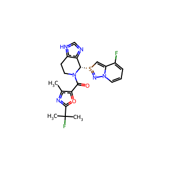 Cc1nc(C(C)(C)F)oc1C(=O)N1CCc2[nH]cnc2[C@@H]1S1=NN2C=CC=C(F)C2=C1